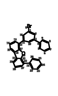 Brc1cc(-c2ccccc2)cc(-c2cccc3c2oc2c(-c4ccccc4)cccc23)c1